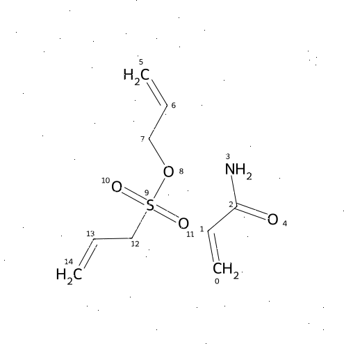 C=CC(N)=O.C=CCOS(=O)(=O)CC=C